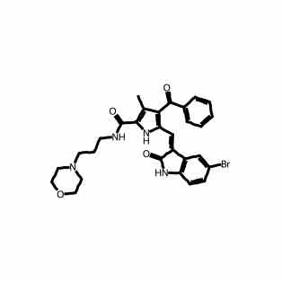 Cc1c(C(=O)NCCCN2CCOCC2)[nH]c(C=C2C(=O)Nc3ccc(Br)cc32)c1C(=O)c1ccccc1